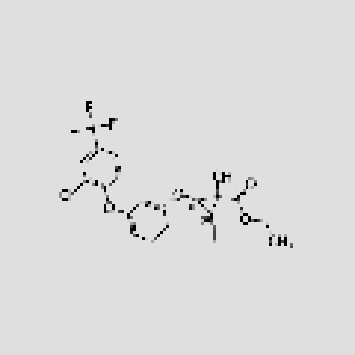 CCOC(=O)C1(C)[C@H](OC2=CC(Oc3ccc(C(F)(F)F)cc3Cl)=CCC2)[C@@H]1I